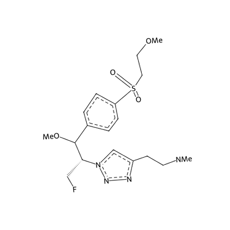 CNCCc1cn([C@H](CF)C(OC)c2ccc(S(=O)(=O)CCOC)cc2)nn1